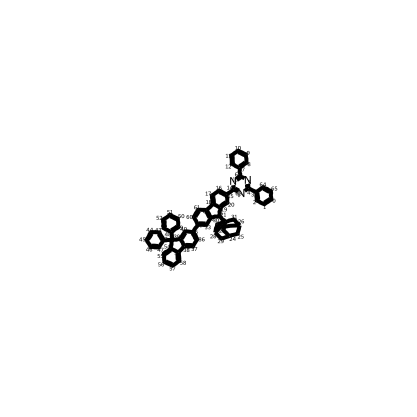 c1ccc(-c2nc(-c3ccccc3)nc(-c3ccc4c(c3)C(C35CC6CC(CC(C6)C3)C5)c3cc(-c5ccc6c(c5)C(c5ccccc5)(c5ccccc5)c5ccccc5-6)ccc3-4)n2)cc1